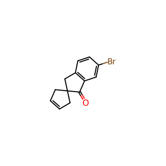 O=C1c2cc(Br)ccc2CC12CC=CC2